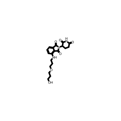 O=C1CCC(N2C(=O)c3cccc(NCCCOCCCO)c3C2=O)C(=O)N1